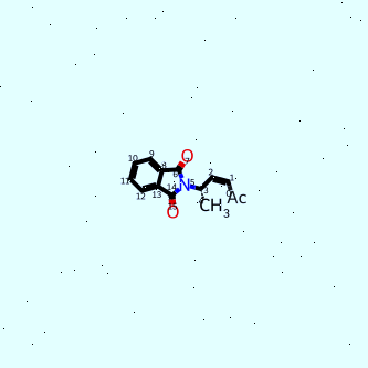 CC(=O)/C=C\[C@H](C)N1C(=O)c2ccccc2C1=O